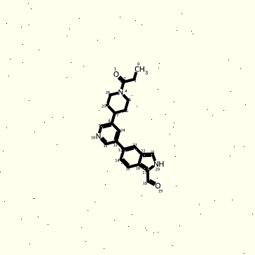 CCC(=O)N1CCC(c2cncc(-c3ccc4c(C=O)[nH]cc4c3)c2)CC1